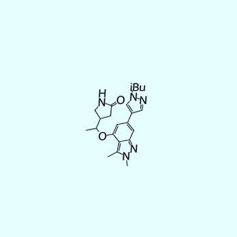 CCC(C)n1cc(-c2cc(OC(C)C3CNC(=O)C3)c3c(C)n(C)nc3c2)cn1